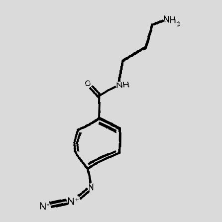 [N-]=[N+]=Nc1ccc(C(=O)NCCCN)cc1